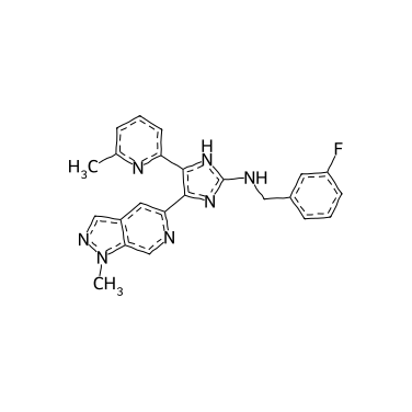 Cc1cccc(-c2[nH]c(NCc3cccc(F)c3)nc2-c2cc3cnn(C)c3cn2)n1